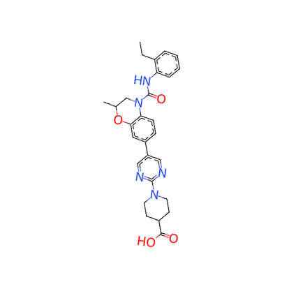 CCc1ccccc1NC(=O)N1CC(C)Oc2cc(-c3cnc(N4CCC(C(=O)O)CC4)nc3)ccc21